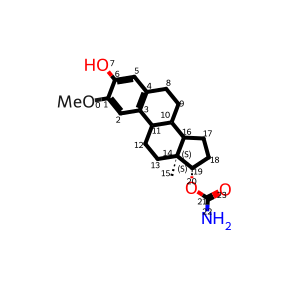 COc1cc2c(cc1O)CCC1C2CC[C@@]2(C)C1CC[C@@H]2OC(N)=O